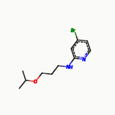 CC(C)OCCCNc1cc(Br)ccn1